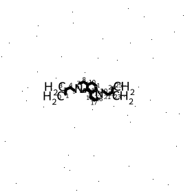 C=CC(=C)CCN1CCC2CCC3C(=C2C1)C=CCN3CCC(=C)C=C